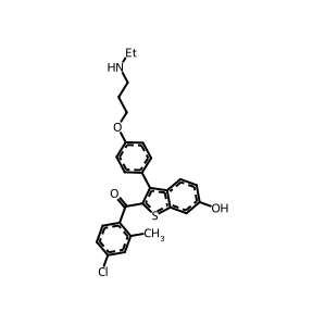 CCNCCCOc1ccc(-c2c(C(=O)c3ccc(Cl)cc3C)sc3cc(O)ccc23)cc1